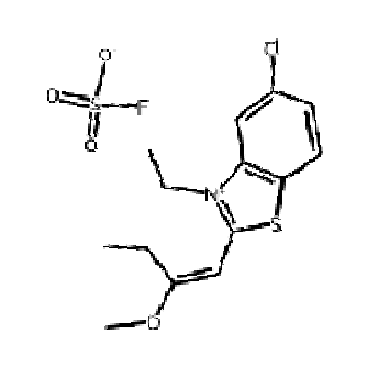 CC/C(=C\c1sc2ccc(Cl)cc2[n+]1CC)OC.O=S(=O)([O-])F